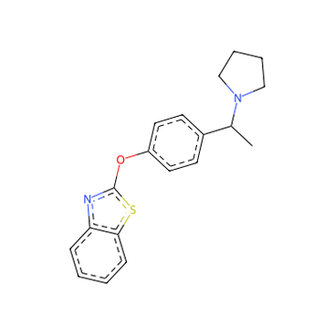 CC(c1ccc(Oc2nc3ccccc3s2)cc1)N1CCCC1